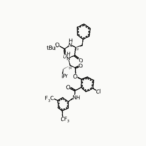 CC(C)C[C@H](NC(=O)[C@H](Cc1ccccc1)NC(=O)OC(C)(C)C)C(=O)Oc1ccc(Cl)cc1C(=O)Nc1cc(C(F)(F)F)cc(C(F)(F)F)c1